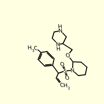 C=CC(c1ccc(C)cc1)S(=O)(=O)N1CCCCC1OCC1CNCCN1